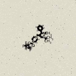 CC(C)N1C=C(CN2CCN(C(=O)OC(C(F)(F)F)C(F)(F)F)CC2)C(c2ccccc2)N1C